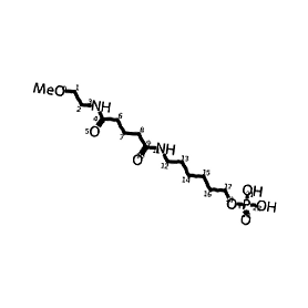 COCCNC(=O)CCCC(=O)NCCCCCCOP(=O)(O)O